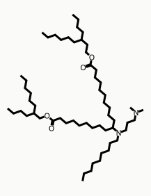 CCCCCCCCCN(CCCN(C)C)C(CCCCCCCCCC(=O)OCCC(CCCC)CCCCCC)CCCCCCCCC(=O)OCC(CCCC)CCCCCC